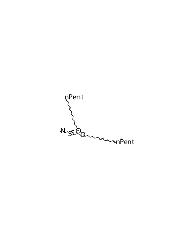 CCCCCC=CCC=CCCCCCCCCOCC(CSSCCN(C)C)OCCCCCCCCC=CCC=CCCCCC